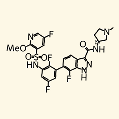 COc1ncc(F)cc1S(=O)(=O)Nc1cc(F)cc(-c2ccc3c(C(=O)N[C@H]4CCN(C)C4)n[nH]c3c2F)c1F